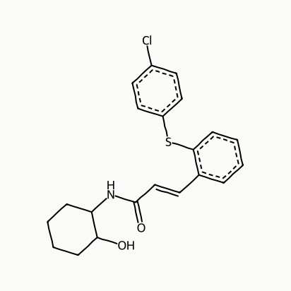 O=C(C=Cc1ccccc1Sc1ccc(Cl)cc1)NC1CCCCC1O